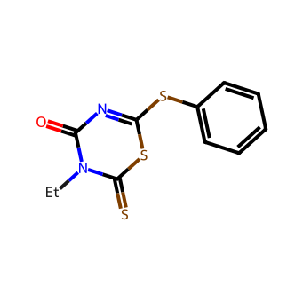 CCn1c(=O)nc(Sc2ccccc2)sc1=S